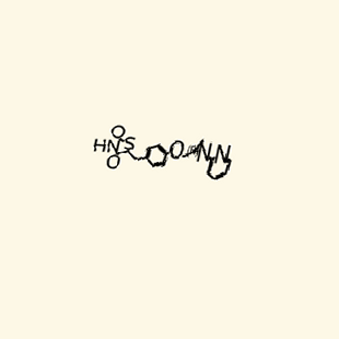 O=C1NC(=O)C(Cc2ccc(OC[C@H]3CN3c3ccccn3)cc2)S1